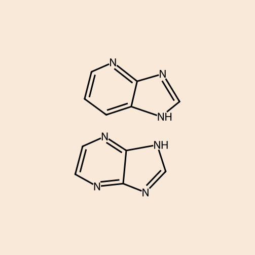 c1cnc2[nH]cnc2n1.c1cnc2nc[nH]c2c1